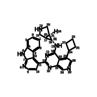 c1ccc2c(c1)[nH]c1nccc(-c3nc(N[C@@H]4C5CNC[C@H]54)c4c(C5CCC5)cncc4n3)c12